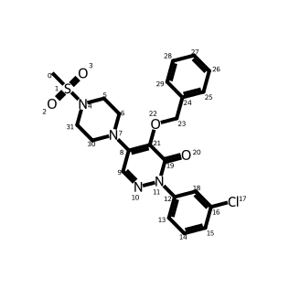 CS(=O)(=O)N1CCN(c2cnn(-c3cccc(Cl)c3)c(=O)c2OCc2ccccc2)CC1